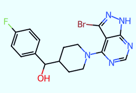 OC(c1ccc(F)cc1)C1CCN(c2ncnc3[nH]nc(Br)c23)CC1